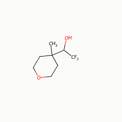 CC1(C(O)C(F)(F)F)CCOCC1